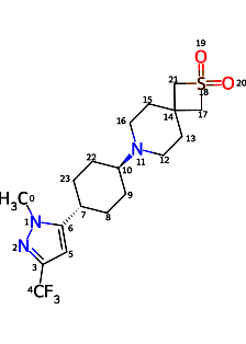 Cn1nc(C(F)(F)F)cc1[C@H]1CC[C@H](N2CCC3(CC2)CS(=O)(=O)C3)CC1